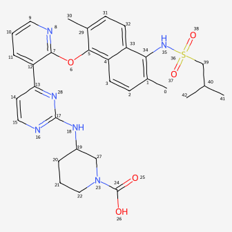 Cc1ccc2c(Oc3ncccc3-c3ccnc(NC4CCCN(C(=O)O)C4)n3)c(C)ccc2c1NS(=O)(=O)CC(C)C